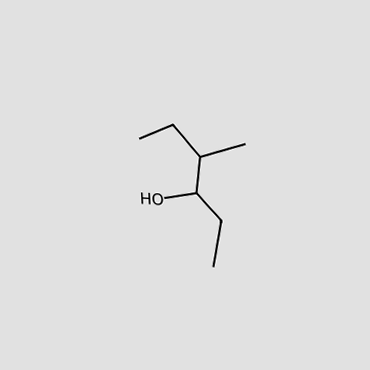 CCC(C)C(O)CC